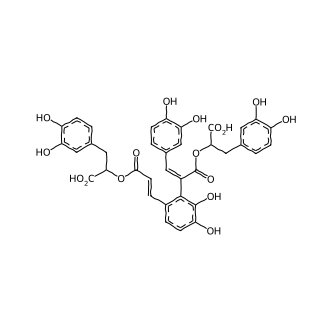 O=C(C=Cc1ccc(O)c(O)c1C(=Cc1ccc(O)c(O)c1)C(=O)OC(Cc1ccc(O)c(O)c1)C(=O)O)OC(Cc1ccc(O)c(O)c1)C(=O)O